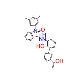 C=C(O)c1cccc(-c2cccc(N/N=C3\C(=O)N(c4cc(C)cc(C)c4)c4cc(C)ccc43)c2O)c1